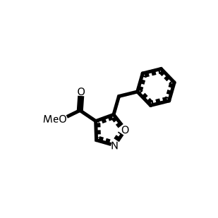 COC(=O)c1cnoc1Cc1ccccc1